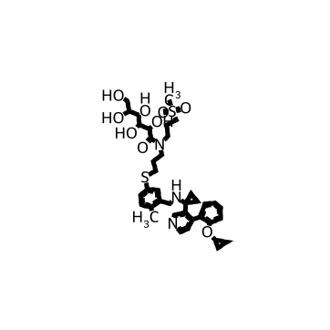 Cc1ccc(SCCCN(CCCS(C)(=O)=O)C(=O)C(O)C(O)C(O)C(O)CO)cc1CNC1(c2cnccc2-c2ccccc2OC2CC2)CC1